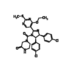 CCOc1nc(SC)ncc1C1=N[C@@H](c2ccc(Cl)cc2)[C@@H](c2ccc(Cl)cc2)N1C(=O)N1CCNC(=O)C1